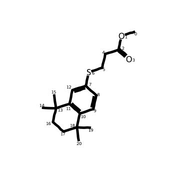 COC(=O)CCSc1ccc2c(c1)C(C)(C)CCC2(C)C